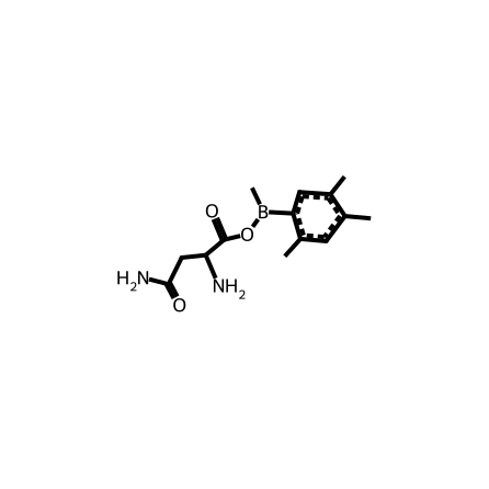 CB(OC(=O)C(N)CC(N)=O)c1cc(C)c(C)cc1C